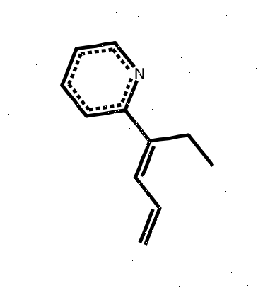 C=C/C=C(\CC)c1ccccn1